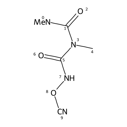 CNC(=O)N(C)C(=O)NOC#N